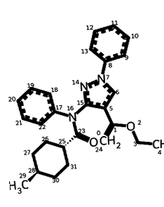 C=C(OCC)c1cn(-c2ccccc2)nc1N(c1ccccc1)C(=O)[C@H]1CC[C@H](C)CC1